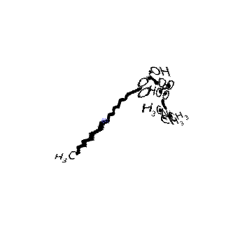 CCCCCCCC/C=C/CCCCCCCC(=O)O[C@H](CO)COP(=O)(O)OCC[N+](C)(C)C